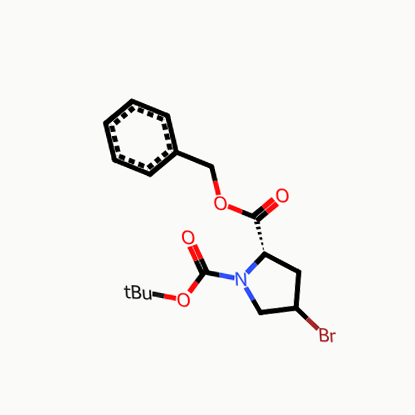 CC(C)(C)OC(=O)N1CC(Br)C[C@H]1C(=O)OCc1ccccc1